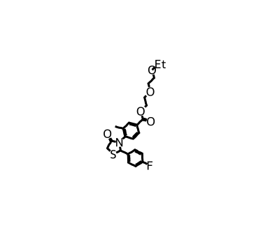 CCOCCOCCOC(=O)c1ccc(N2C(=O)CSC2c2ccc(F)cc2)c(C)c1